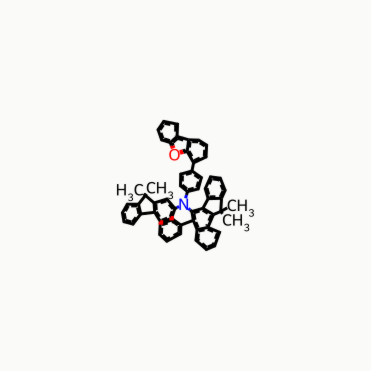 CC1(C)c2ccccc2-c2ccc(N(c3ccc(-c4cccc5c4oc4ccccc45)cc3)c3c4c(c5ccccc5c3-c3ccccc3)C(C)(C)c3ccccc3-4)cc21